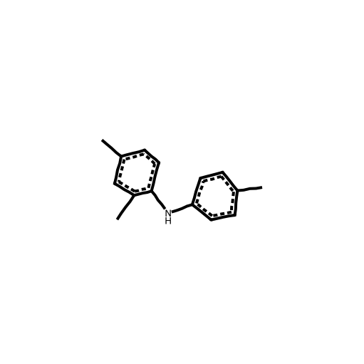 Cc1ccc(Nc2ccc(C)cc2C)cc1